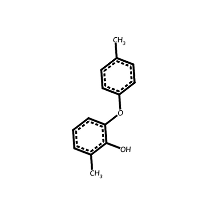 Cc1ccc(Oc2cccc(C)c2O)cc1